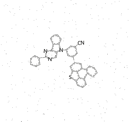 N#Cc1cc(-c2cc3sc4cccc5c6ccccc6c(c2)c3c45)cc(-n2c3ccccc3c3nc(-c4ccccc4)ncc32)c1